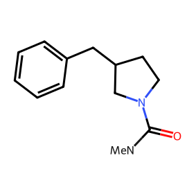 CNC(=O)N1CCC(Cc2ccccc2)C1